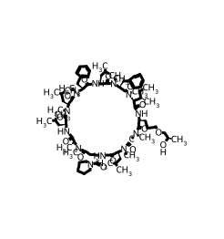 CC[C@H](C)[C@H]1C(=O)N[C@@H](CCCOC[C@@H](C)O)C(=O)N(C)CC(=O)N(C)[C@@H](CC(C)C)C(=O)N[C@H](C(=O)N2CCCCC2)CC(=O)N(C)[C@@H](C)C(=O)N[C@@H](CC(C)C)C(=O)N(C)[C@@H](CC(C)C)C(=O)N(C)[C@@H](Cc2ccccc2)C(=O)N[C@@H](CC(C)C)C(=O)N(C)[C@@H](Cc2ccccc2)C(=O)N1C